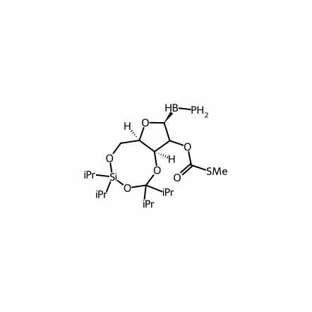 CSC(=O)OC1[C@H](BP)O[C@@H]2CO[Si](C(C)C)(C(C)C)OC(C(C)C)(C(C)C)O[C@H]12